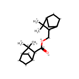 CC1(C)C2CCC(C2)C1COC(=O)C1C2CCC(C2)C1(C)C